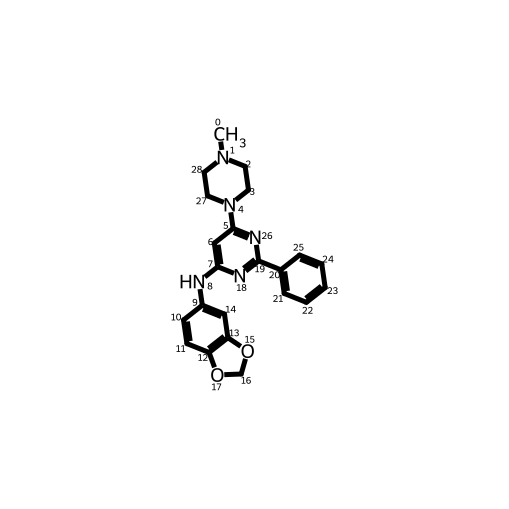 CN1CCN(c2cc(Nc3ccc4c(c3)OCO4)nc(-c3ccccc3)n2)CC1